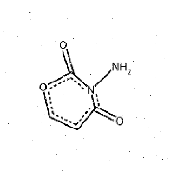 Nn1c(=O)ccoc1=O